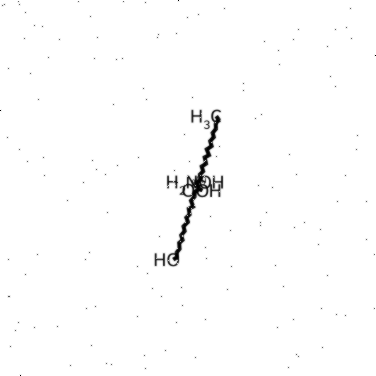 CCCCCCCCCCCCCCC[C@@H](O)[C@@H](N)C(O)C(=O)CCCCCCCCCCCCCCCO